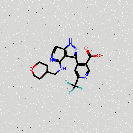 O=C(O)c1cnc(C(F)(F)F)cc1-c1n[nH]c2ccnc(NCC3CCOCC3)c12